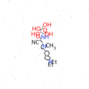 CCN(CC)c1ccc2cc(-c3ccc(/C=C(\C#N)C(=O)N[C@H]4C(O)O[C@H](CO)[C@@H](O)[C@@H]4O)n3C)ccc2c1